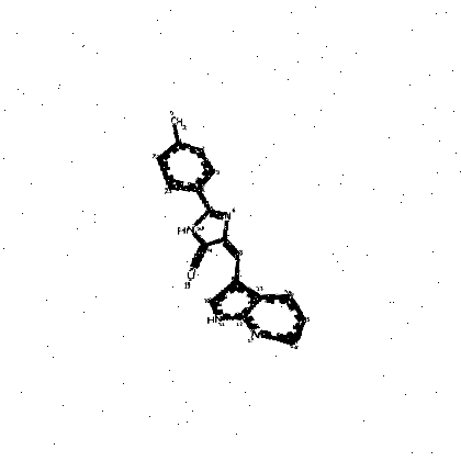 Cc1ccc(C2=NC(=Cc3c[nH]c4ncccc34)C(=O)N2)cc1